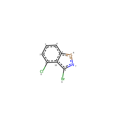 Clc1cccc2snc(Br)c12